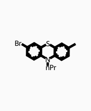 CCCN1c2ccc(C)cc2Sc2cc(Br)ccc21